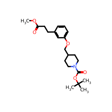 COC(=O)CCc1cccc(OCC2CCN(C(=O)OC(C)(C)C)CC2)c1